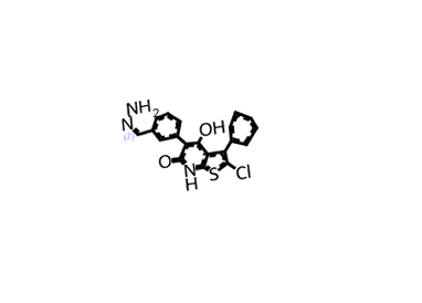 N/N=C\c1cccc(-c2c(O)c3c(-c4ccccc4)c(Cl)sc3[nH]c2=O)c1